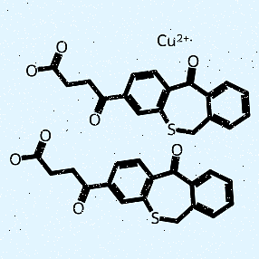 O=C([O-])CCC(=O)c1ccc2c(c1)SCc1ccccc1C2=O.O=C([O-])CCC(=O)c1ccc2c(c1)SCc1ccccc1C2=O.[Cu+2]